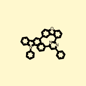 c1ccc(-c2cc(-c3ccccc3)nc(-c3cccc4oc5ccc(-c6ccc7c(c6)c6ccccc6n7-c6ccccc6)cc5c34)n2)cc1